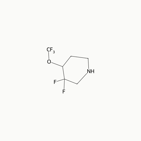 FC(F)(F)OC1CCNCC1(F)F